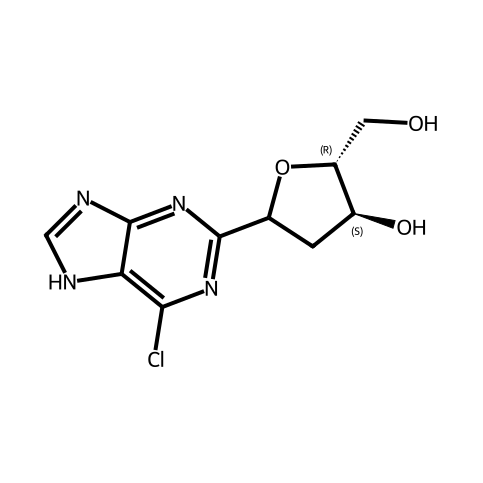 OC[C@H]1OC(c2nc(Cl)c3[nH]cnc3n2)C[C@@H]1O